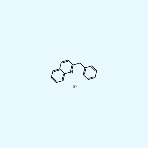 [Ir].c1ccc(Cc2ccc3ccccc3n2)cc1